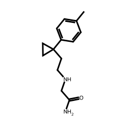 Cc1ccc(C2(CCNCC(N)=O)CC2)cc1